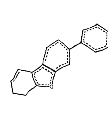 C1=Cc2c(oc3cc(-c4ccccc4)ccc23)CC1